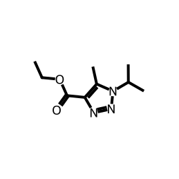 CCOC(=O)c1nnn(C(C)C)c1C